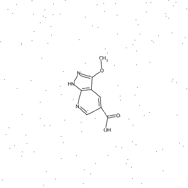 COc1n[nH]c2ncc(C(=O)O)cc12